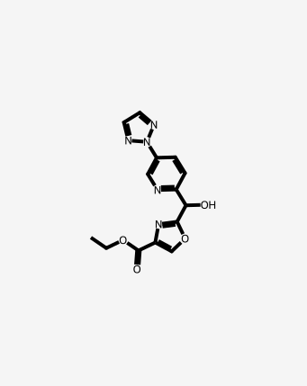 CCOC(=O)c1coc(C(O)c2ccc(-n3nccn3)cn2)n1